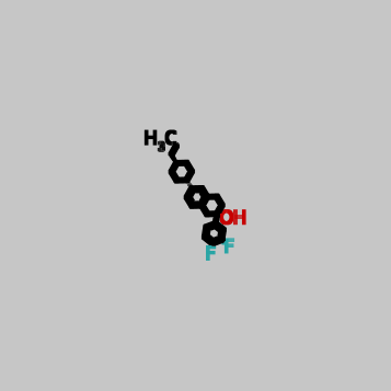 CCC[C@H]1CC[C@H](c2ccc3c(c2)CCC(O)(c2ccc(F)c(F)c2)C3)CC1